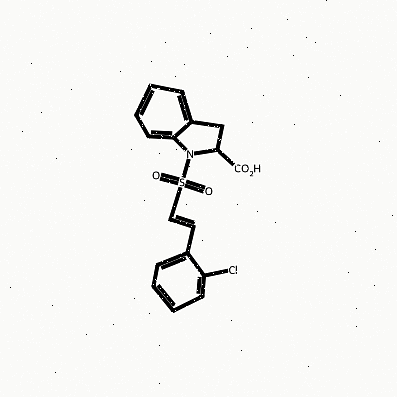 O=C(O)C1Cc2ccccc2N1S(=O)(=O)/C=C/c1ccccc1Cl